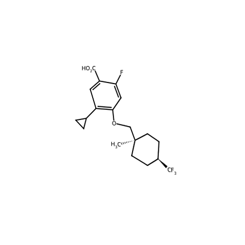 C[C@]1(COc2cc(F)c(C(=O)O)cc2C2CC2)CC[C@@H](C(F)(F)F)CC1